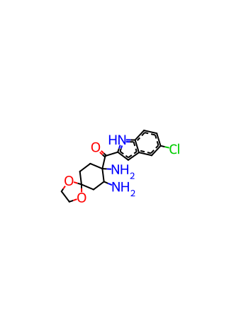 NC1CC2(CCC1(N)C(=O)c1cc3cc(Cl)ccc3[nH]1)OCCO2